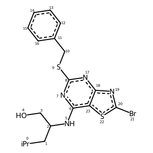 CC(C)CC(CO)Nc1nc(SCc2ccccc2)nc2nc(Br)sc12